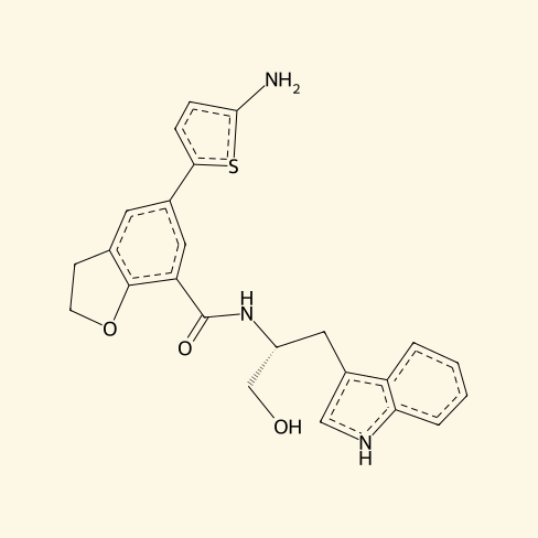 Nc1ccc(-c2cc3c(c(C(=O)N[C@@H](CO)Cc4c[nH]c5ccccc45)c2)OCC3)s1